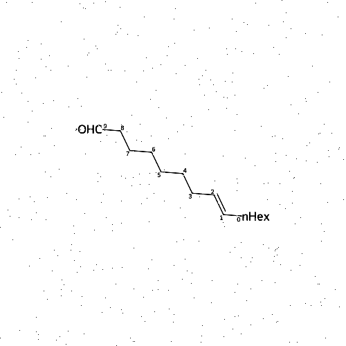 CCCCCC/C=C/CCCCCC[C]=O